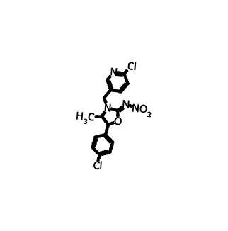 CC1C(c2ccc(Cl)cc2)OC(=N[N+](=O)[O-])N1Cc1ccc(Cl)nc1